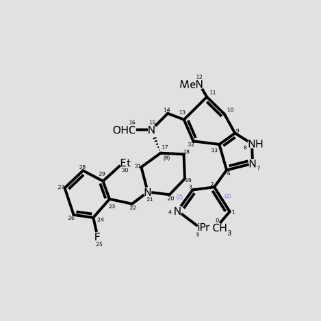 C/C=C(\C=N/C(C)C)c1n[nH]c2cc(NC)c(CN(C=O)[C@@H]3CCCN(Cc4c(F)cccc4CC)C3)cc12